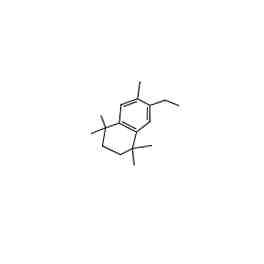 CCc1cc2c(cc1C)C(C)(C)CCC2(C)C